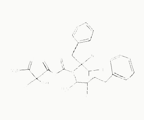 CNC(=O)C(O)(C(=O)OC(=O)N(C(N)C(O)CCc1ccccc1)C(N)(Cc1ccccc1)C(C)O)C(C)(C)C